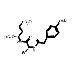 CCOC(=O)CC[C@@H](NC(=O)[C@@H](NC(=O)Cc1ccc(OC)cc1)C(C)C)C(=O)OCC